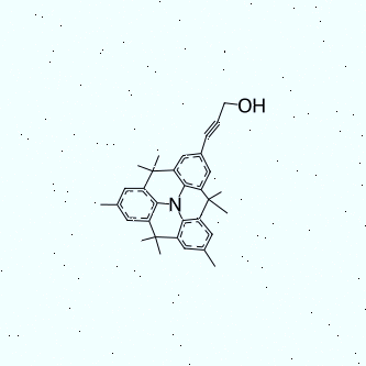 Cc1cc2c3c(c1)C(C)(C)c1cc(C#CCO)cc4c1N3c1c(cc(C)cc1C4(C)C)C2(C)C